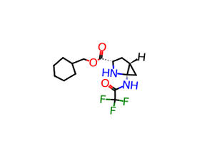 O=C(OCC1CCCCC1)[C@@H]1C[C@@H]2C[C@@]2(NC(=O)C(F)(F)F)N1